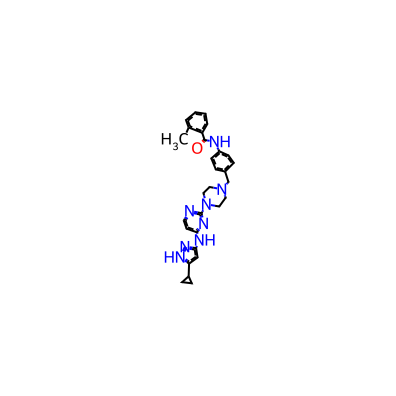 Cc1ccccc1C(=O)Nc1ccc(CN2CCN(c3nccc(Nc4cc(C5CC5)[nH]n4)n3)CC2)cc1